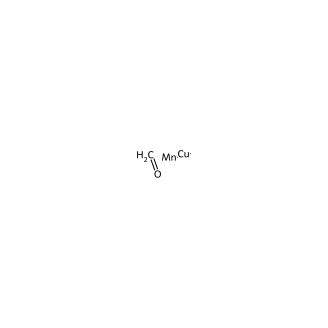 C=O.[Cu].[Mn]